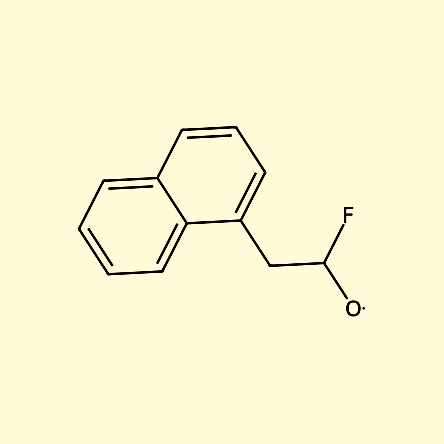 [O]C(F)Cc1cccc2ccccc12